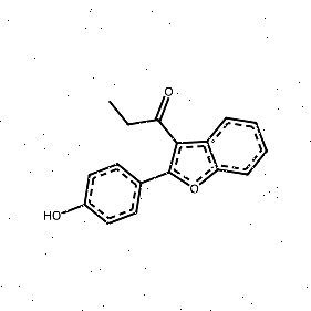 CCC(=O)c1c(-c2ccc(O)cc2)oc2ccccc12